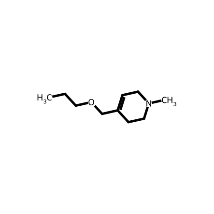 CCCOCC1=CCN(C)CC1